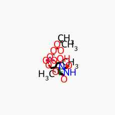 CO[C@]1(CF)COP(=O)(OCOC(=O)OC(C)C)O[C@H]1[C@@](C)(O)n1ccc(=O)[nH]c1=O